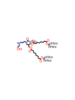 CCCCCCCCC(=O)N(CCCN(C)CCO)CC(COC(=O)CCCCCCC(=O)OC(CCCCCC)CCCCCC)COC(=O)CCCCCCC(=O)OC(CCCCCC)CCCCCC